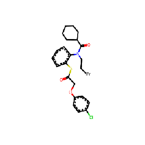 CC(C)CCN(C(=O)C1CCCCC1)c1ccccc1SC(=O)COc1ccc(Cl)cc1